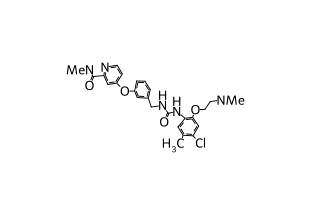 CNCCOc1cc(Cl)c(C)cc1NC(=O)NCc1cccc(Oc2ccnc(C(=O)NC)c2)c1